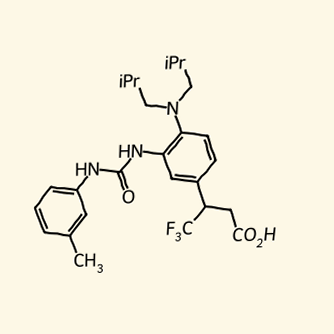 Cc1cccc(NC(=O)Nc2cc(C(CC(=O)O)C(F)(F)F)ccc2N(CC(C)C)CC(C)C)c1